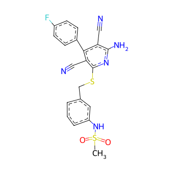 CS(=O)(=O)Nc1cccc(CSc2nc(N)c(C#N)c(-c3ccc(F)cc3)c2C#N)c1